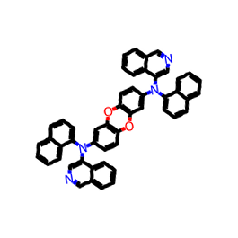 c1ccc2c(N(c3ccc4c(c3)Oc3ccc(N(c5cccc6ccccc56)c5cncc6ccccc56)cc3O4)c3cncc4ccccc34)cccc2c1